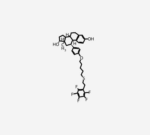 C[C@]12C[C@H](c3ccc(OCCCCCSCCc4c(F)c(F)c(F)c(F)c4F)cc3)[C@@H]3c4ccc(O)cc4CC[C@H]3[C@@H]1CC[C@@H]2O